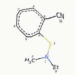 CCN(C)Sc1ccccc1C#N